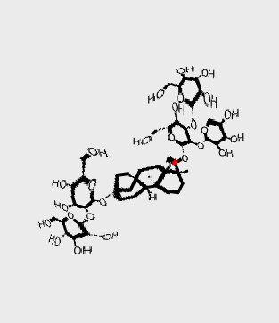 C=C(O[C@@H]1O[C@H](CO)[C@@H](O)[C@H](O[C@@H]2OC(CO)[C@@H](O)[C@H](O)[C@H]2O)[C@H]1O[C@@H]1OC[C@@H](O)[C@H](O)[C@H]1O)[C@]1(C)CCC[C@@]2(C)[C@@H]3CC[C@@]4(O[C@@H]5O[C@H](CO)[C@@H](O)[C@H](O)[C@H]5O[C@@H]5O[C@H](CO)[C@@H](O)[C@H](O)[C@H]5O)CC[C@]3(CC[C@@H]21)C4